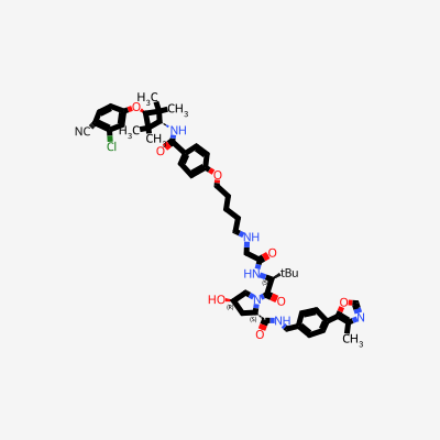 Cc1ncoc1-c1ccc(CNC(=O)[C@@H]2C[C@@H](O)CN2C(=O)[C@@H](NC(=O)CNCCCCCOc2ccc(C(=O)N[C@H]3C(C)(C)[C@H](Oc4ccc(C#N)c(Cl)c4)C3(C)C)cc2)C(C)(C)C)cc1